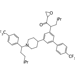 CC(C)CCC(c1ccc(C(F)(F)F)cc1)N1CCC(c2cc(-c3ccc(C(F)(F)F)cc3)cc(C(CC(C)C)C(=O)C3CO3)c2)CC1